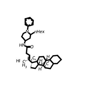 CCCCCCC1CC(NC(=O)CC[C@@H](C)[C@H]2CC[C@H]3[C@@H]4CCC5CCCC[C@]5(C)[C@H]4CC[C@]23C)CCN1c1ccccc1.I